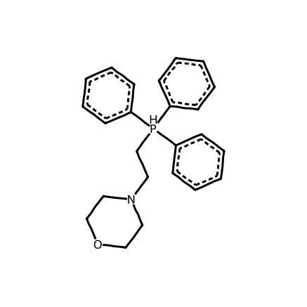 c1ccc([PH](CCN2CCOCC2)(c2ccccc2)c2ccccc2)cc1